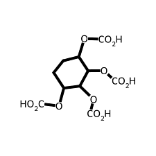 O=C(O)OC1CCC(OC(=O)O)C(OC(=O)O)C1OC(=O)O